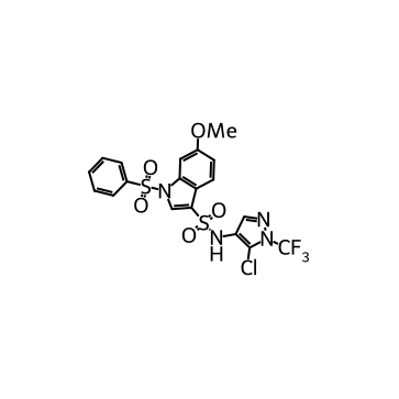 COc1ccc2c(S(=O)(=O)Nc3cnn(C(F)(F)F)c3Cl)cn(S(=O)(=O)c3ccccc3)c2c1